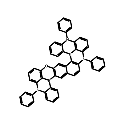 c1ccc(N2c3ccccc3B3c4cc5ccc6c(c5cc4Oc4cccc2c43)B2c3ccccc3N(c3ccccc3)c3cccc(c32)N6c2ccccc2)cc1